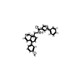 COc1cccc(-c2ccc(CNC(=O)c3cnn(-c4ccccc4)c3)c3cnccc23)c1